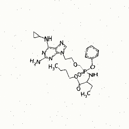 CCCCOC(=O)C(CC)NP(=O)(COCCn1cnc2c(NC3CC3)nc(N)nc21)Oc1ccccc1